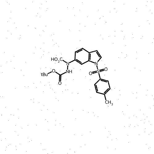 Cc1ccc(S(=O)(=O)n2ccc3ccc(N(NC(=O)OC(C)(C)C)C(=O)O)cc32)cc1